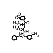 Cc1cccc(-n2cc(-c3ccccc3)nc2NC(=O)CN(C(=O)c2ccc3c(c2)OCO3)C(C)C)c1